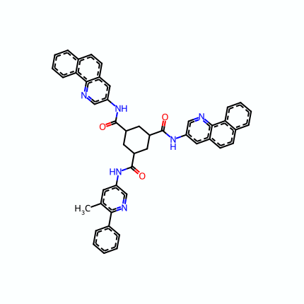 Cc1cc(NC(=O)C2CC(C(=O)Nc3cnc4c(ccc5ccccc54)c3)CC(C(=O)Nc3cnc4c(ccc5ccccc54)c3)C2)cnc1-c1ccccc1